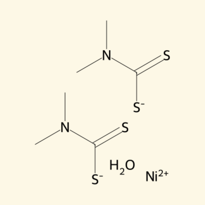 CN(C)C(=S)[S-].CN(C)C(=S)[S-].O.[Ni+2]